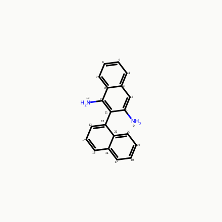 Nc1cc2ccccc2c(N)c1-c1cccc2ccccc12